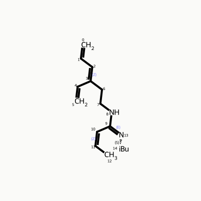 C=C/C=C(\C=C)CCNC(/C=C\C)=N/[C@@H](C)CC